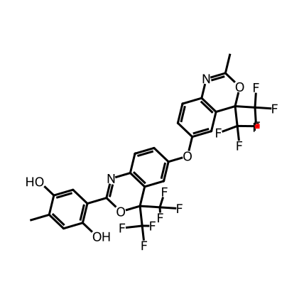 CC1=Nc2ccc(Oc3ccc4c(c3)C(C(F)(F)F)(C(F)(F)F)OC(c3cc(O)c(C)cc3O)=N4)cc2C(C(F)(F)F)(C(F)(F)F)O1